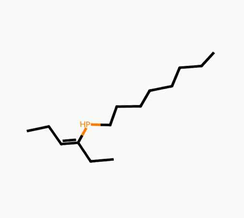 CCC=C(CC)PCCCCCCCC